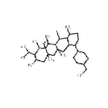 CCC1CCC(C2CCC(C)C3C(O)C4C(C)C5(C)C(O)C(C(C)O)C(C)CC5(C)CC4(C)CC23)CC1